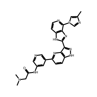 Cc1cn(-c2nccc3[nH]c(-c4n[nH]c5ccc(-c6cncc(NC(=O)CN(C)C)c6)nc45)nc23)cn1